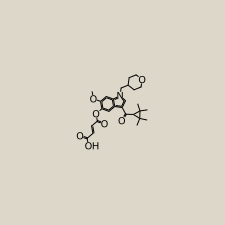 COc1cc2c(cc1OC(=O)C=CC(=O)O)c(C(=O)C1C(C)(C)C1(C)C)cn2CC1CCOCC1